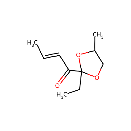 CC=CC(=O)C1(CC)OCC(C)O1